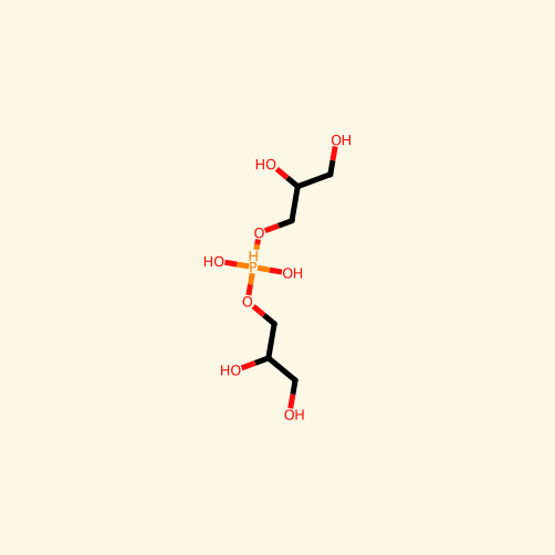 OCC(O)CO[PH](O)(O)OCC(O)CO